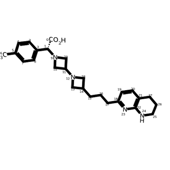 O=C(O)[C@@H](c1ccc(C(F)(F)F)cc1)N1CC(N2CC(CCCc3ccc4c(n3)NCCC4)C2)C1